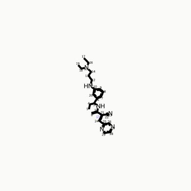 C=C(NC(CC)c1cccc(NCCCN(CC)CC)c1)/C(C#N)=C/c1cnccn1